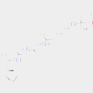 CCC(C)(O)NCCCCCC(=O)NCC(=O)NCC(=O)NC(C)Cc1ccccc1